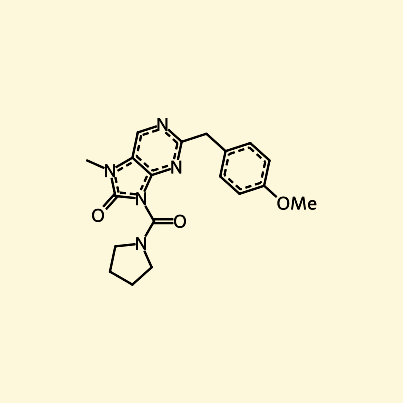 COc1ccc(Cc2ncc3c(n2)n(C(=O)N2CCCC2)c(=O)n3C)cc1